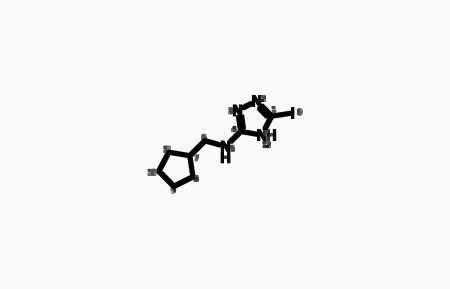 Ic1nnc(NCC2CCCC2)[nH]1